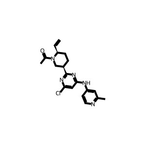 C=C[C@H]1CC[C@@H](c2nc(Cl)cc(Nc3ccnc(C)c3)n2)CN1C(C)=O